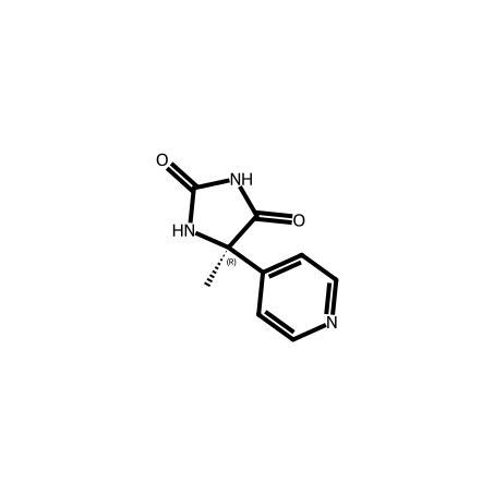 C[C@]1(c2ccncc2)NC(=O)NC1=O